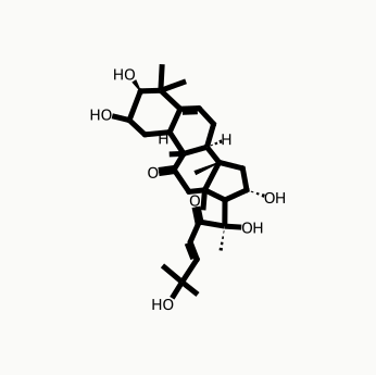 CC(C)(O)/C=C/C(=O)[C@](C)(O)C1[C@@H](O)C[C@@]2(C)[C@@H]3CC=C4[C@H](CC(O)[C@@H](O)C4(C)C)C3(C)C(=O)CC12C